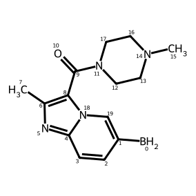 Bc1ccc2nc(C)c(C(=O)N3CCN(C)CC3)n2c1